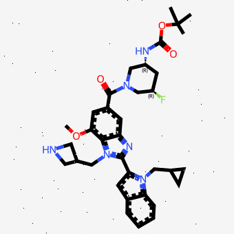 COc1cc(C(=O)N2C[C@H](F)C[C@@H](NC(=O)OC(C)(C)C)C2)cc2nc(-c3cc4ccccc4n3CC3CC3)n(CC3CNC3)c12